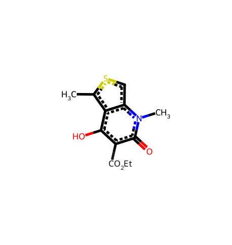 CCOC(=O)c1c(O)c2c(C)scc2n(C)c1=O